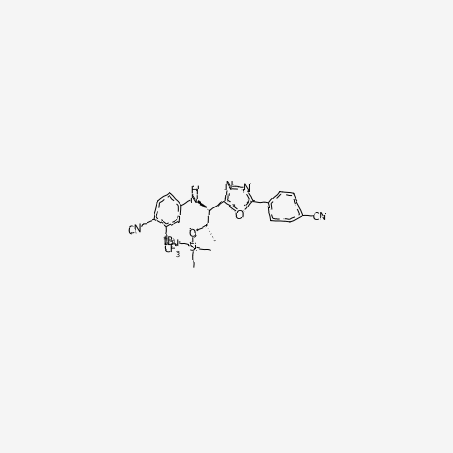 [C-]#[N+]c1ccc(N[C@@H](c2nnc(-c3ccc(C#N)cc3)o2)[C@H](C)O[Si](C)(C)C(C)(C)C)cc1C(F)(F)F